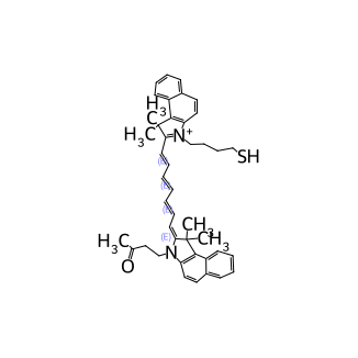 CC(=O)CCN1/C(=C/C=C/C=C/C=C/C2=[N+](CCCCS)c3ccc4ccccc4c3C2(C)C)C(C)(C)c2c1ccc1ccccc21